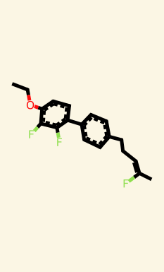 CCOc1ccc(-c2ccc(CCC=C(C)F)cc2)c(F)c1F